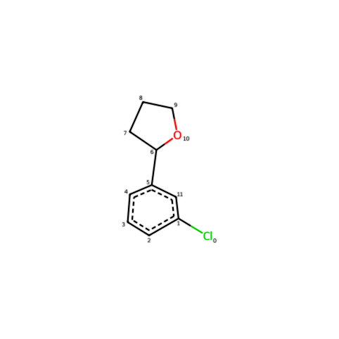 Clc1cccc(C2CCCO2)c1